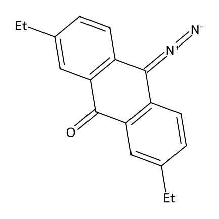 CCc1ccc2c(c1)C(=O)c1cc(CC)ccc1C2=[N+]=[N-]